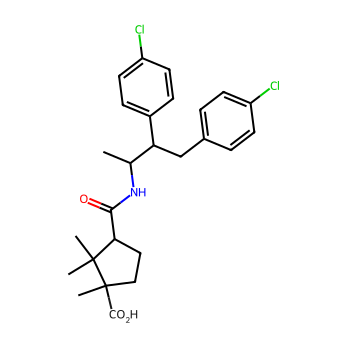 CC(NC(=O)C1CCC(C)(C(=O)O)C1(C)C)C(Cc1ccc(Cl)cc1)c1ccc(Cl)cc1